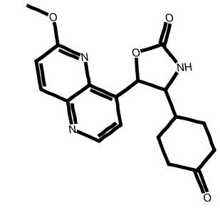 COc1ccc2nccc(C3OC(=O)NC3C3CCC(=O)CC3)c2n1